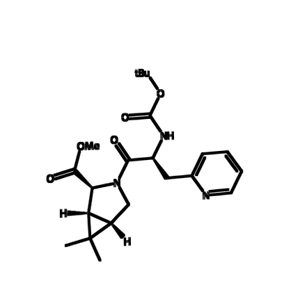 COC(=O)[C@@H]1[C@@H]2[C@H](CN1C(=O)[C@H](Cc1ccccn1)NC(=O)OC(C)(C)C)C2(C)C